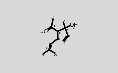 C=CC(C)(O)C(CC=C(C)C)C(C)=O